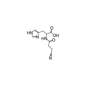 N#CCCC(=O)NC(Cc1c[nH]cn1)C(=O)O